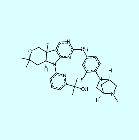 CN1C[C@H]2C[C@@H]1CN2c1ccc(Nc2ncc3c(n2)N(c2cccc(C(C)(C)O)n2)[C@H]2CC(C)(C)OCC32C)cc1F